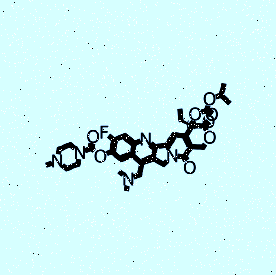 CC[C@@]1(OC(=O)OC(C)C)C(=O)OCc2c1cc1n(c2=O)Cc2c-1nc1cc(F)c(OC(=O)N3CCN(C)CC3)cc1c2CN(C)C